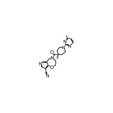 Cc1ccnc(N2CCC(F)(C(=O)N3CCOc4c(C#N)cncc4C3)CC2)n1